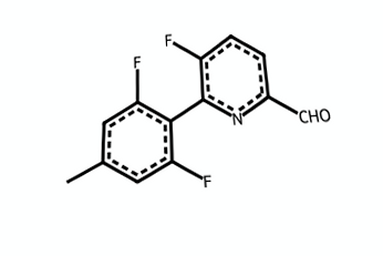 Cc1cc(F)c(-c2nc(C=O)ccc2F)c(F)c1